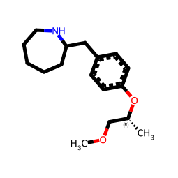 COC[C@@H](C)Oc1ccc(CC2CCCCCN2)cc1